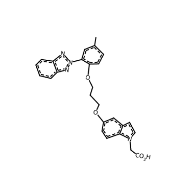 Cc1ccc(OCCCOc2ccc3c(ccn3CC(=O)O)c2)c(-n2nc3ccccc3n2)c1